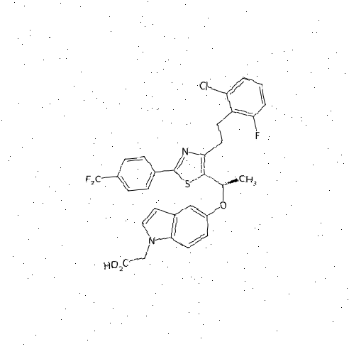 C[C@@H](Oc1ccc2c(ccn2CC(=O)O)c1)c1sc(-c2ccc(C(F)(F)F)cc2)nc1CCc1c(F)cccc1Cl